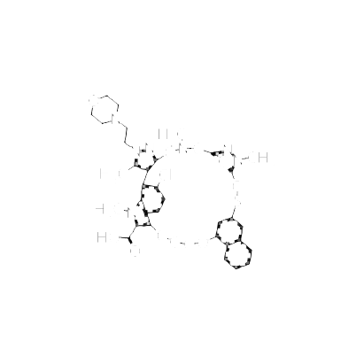 Cc1c2c(nn1CCN1CCOCC1)CN(C)Cc1cc(n(C)n1)CSc1cc(c3ccccc3c1)OCCCc1c(C(=O)O)n(C)c3c-2c(Cl)ccc13